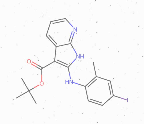 Cc1cc(I)ccc1Nc1[nH]c2ncccc2c1C(=O)OC(C)(C)C